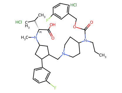 CCCN(C(=O)OCc1cccc(F)c1)C1CCN(CC2CC(N(C)[C@@H](C(=O)O)C(C)C)CC2c2cccc(F)c2)CC1.Cl.Cl